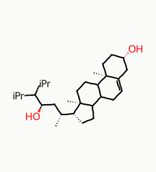 CC(C)C(C(C)C)[C@H](O)C[C@@H](C)[C@H]1CCC2C3CC=C4C[C@@H](O)CC[C@]4(C)C3CC[C@@]21C